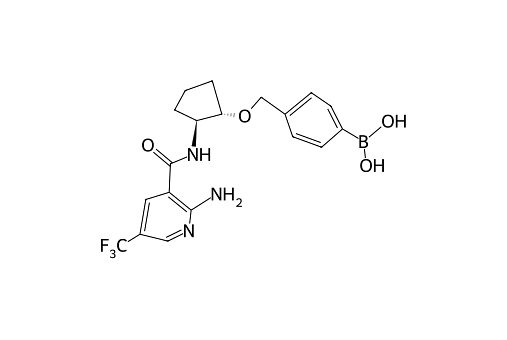 Nc1ncc(C(F)(F)F)cc1C(=O)N[C@H]1CCC[C@@H]1OCc1ccc(B(O)O)cc1